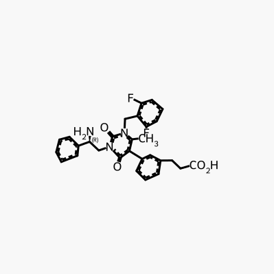 Cc1c(-c2cccc(CCC(=O)O)c2)c(=O)n(C[C@H](N)c2ccccc2)c(=O)n1Cc1c(F)cccc1F